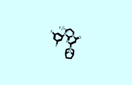 O=c1cc(N2CC3CCC(C2)O3)nc2n1CC[C@@H](C(F)(F)F)N2c1cc(F)cc(F)c1